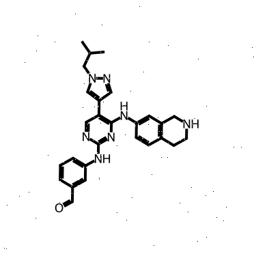 CC(C)Cn1cc(-c2cnc(Nc3cccc(C=O)c3)nc2Nc2ccc3c(c2)CNCC3)cn1